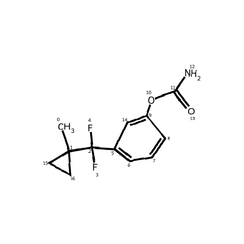 CC1(C(F)(F)c2cccc(OC(N)=O)c2)CC1